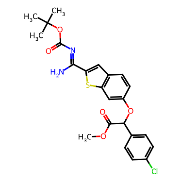 COC(=O)C(Oc1ccc2cc(/C(N)=N/C(=O)OC(C)(C)C)sc2c1)c1ccc(Cl)cc1